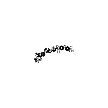 Cc1sc2c(c1C)C(c1ccc(N3CCOC4(CCN(c5ccc(C(=O)NC6CCC(Oc7ccc(C#N)c(Cl)c7)CC6)nn5)C4)C3)cc1)=N[C@@H](C)c1nnc(C)n1-2